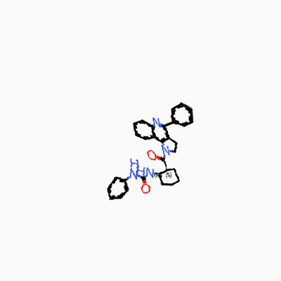 O=C(Nc1ccccc1)N[C@@H]1CCCC[C@@H]1C(=O)N1CCc2c(-c3ccccc3)nc3ccccc3c21